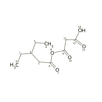 CCC(CC)CC(=O)OC(=O)CC(=O)O